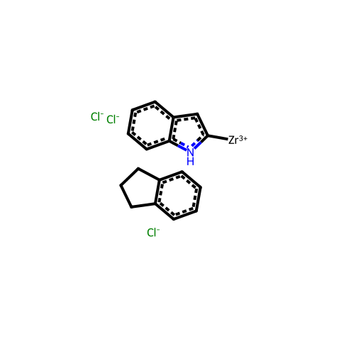 [Cl-].[Cl-].[Cl-].[Zr+3][c]1cc2ccccc2[nH]1.c1ccc2c(c1)CCC2